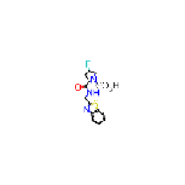 O=C(NCc1nc2ccccc2s1)C1CC(F)CN1C(=O)O